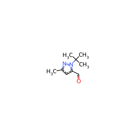 Cc1cc(C=O)n(C(C)(C)C)n1